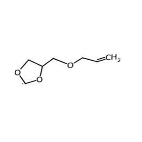 C=CCOCC1CO[CH]O1